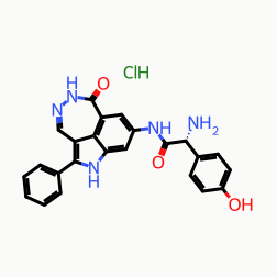 Cl.N[C@@H](C(=O)Nc1cc2c3c(c(-c4ccccc4)[nH]c3c1)C=NNC2=O)c1ccc(O)cc1